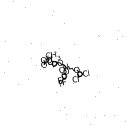 CCOC(Cc1ccc(OCCN(CCCCOc2cc(Cl)cc(Cl)c2)C(=O)Oc2ccc(C(F)(F)F)cc2)cc1)C(=O)O